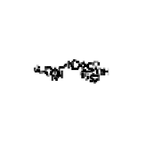 O=Cc1ccc2c(c1)nnn2CCCN1CCC2(CC1)CC(OC(C(=O)O)(c1cccs1)c1cccs1)C2